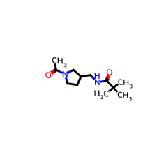 CC(=O)N1CCC(CNC(=O)C(C)(C)C)C1